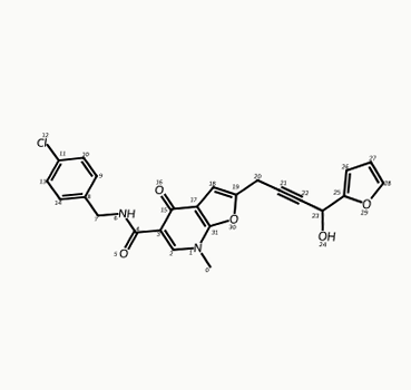 Cn1cc(C(=O)NCc2ccc(Cl)cc2)c(=O)c2cc(CC#CC(O)c3ccco3)oc21